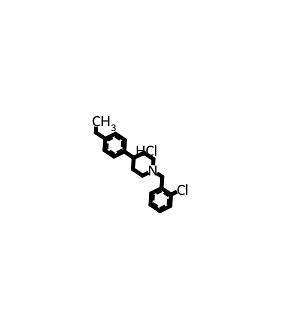 CCc1ccc(C2CCN(Cc3ccccc3Cl)CC2)cc1.Cl